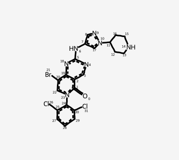 O=c1c2cnc(Nc3cnn(C4CCNCC4)c3)nc2c(Br)cn1-c1c(Cl)cccc1Cl